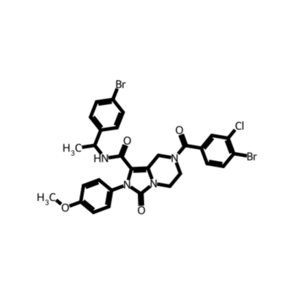 COc1ccc(-n2c(C(=O)NC(C)c3ccc(Br)cc3)c3n(c2=O)CCN(C(=O)c2ccc(Br)c(Cl)c2)C3)cc1